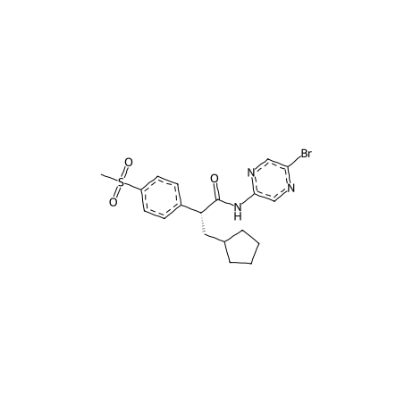 CS(=O)(=O)c1ccc([C@@H](CC2CCCC2)C(=O)Nc2cnc(Br)cn2)cc1